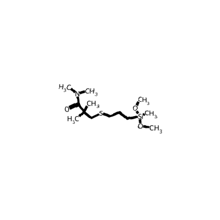 CO[Si](C)(CCCSCC(C)(C)C(=O)N(C)C)OC